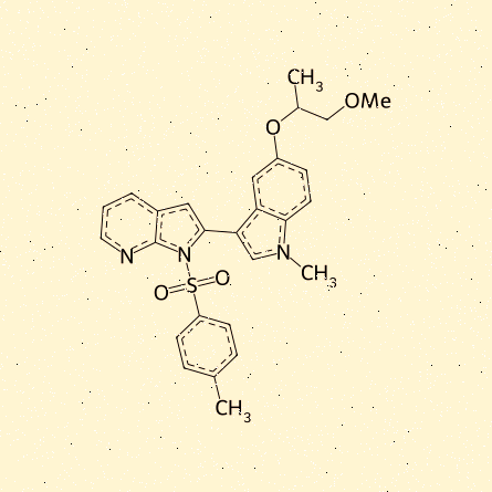 COCC(C)Oc1ccc2c(c1)c(-c1cc3cccnc3n1S(=O)(=O)c1ccc(C)cc1)cn2C